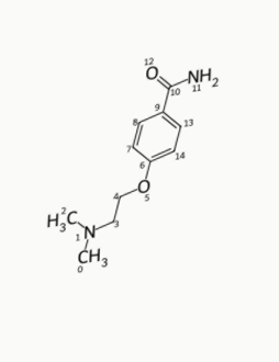 CN(C)CCOc1ccc(C(N)=O)cc1